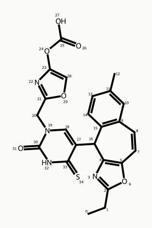 CCc1nc2c(o1)C=Cc1cc(C)ccc1C2c1cn(Cc2nc(OC(=O)O)co2)c(=O)[nH]c1=S